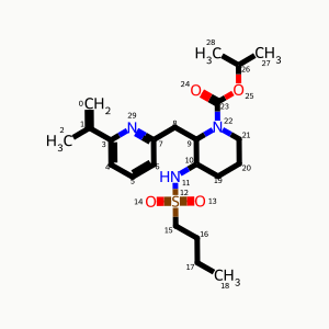 C=C(C)c1cccc(CC2C(NS(=O)(=O)CCCC)CCCN2C(=O)OC(C)C)n1